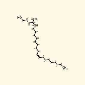 CCCCCCCC/C=C\CCCCCCCCNC(C)OCCO